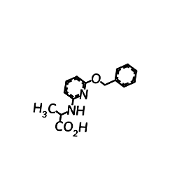 CC(Nc1cccc(OCc2ccccc2)n1)C(=O)O